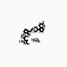 Cc1cc(-c2ncn3c2COc2c(CCN4CCC(c5cccc6nc(C)ccc56)CC4)cccc2-3)[nH]n1.Cl.Cl